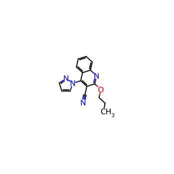 CCCOc1nc2ccccc2c(-n2cccn2)c1C#N